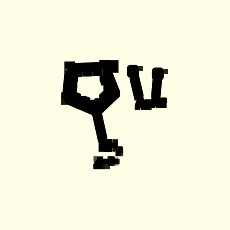 CC(=O)[O-].CC(=O)[O-].Nc1c[nH]nn1.[Zn+2]